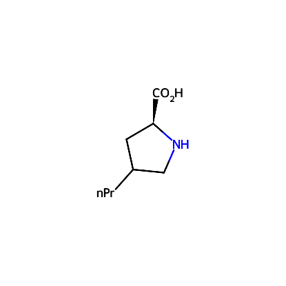 CCCC1CN[C@H](C(=O)O)C1